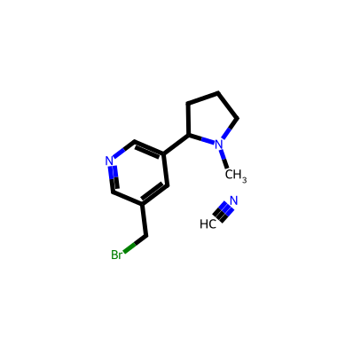 C#N.CN1CCCC1c1cncc(CBr)c1